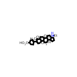 CCNC12CCC[C@@H]1C1CCC3C(C)(CCC4C(C)(C)C(C5=CCC(C(=O)O)CC5)=CCC43C)C1CC2